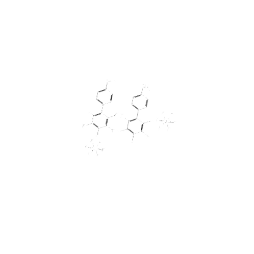 Fc1c(F)c(F)c(-c2ccc([SH2+])cc2)c(F)c1F.Fc1c(F)c(F)c(-c2ccc([SH2+])cc2)c(F)c1F.[F][Sb-]([F])([F])([F])([F])[F].[F][Sb-]([F])([F])([F])([F])[F]